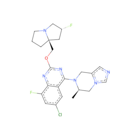 C[C@@H]1Cn2cncc2CN1c1nc(OC[C@@]23CCCN2C[C@H](F)C3)nc2c(F)cc(Cl)cc12